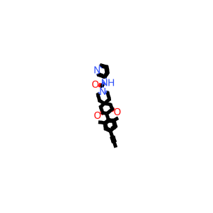 CC#Cc1cc(C)c(C2C(=O)CC3(CCN(C(=O)Nc4cccnc4)CC3)CC2=O)c(C)c1